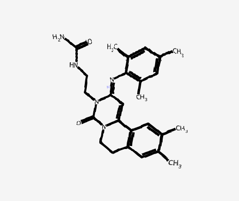 Cc1cc(C)c(/N=c2\cc3n(c(=O)n2CCNC(N)=O)CCc2cc(C)c(C)cc2-3)c(C)c1